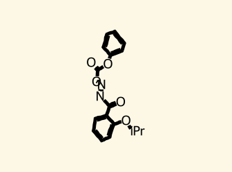 CC(C)Oc1ccccc1C(=O)N=NOC(=O)Oc1ccccc1